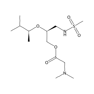 CC(C)[C@H](C)O[C@@H](CNS(C)(=O)=O)COC(=O)CN(C)C